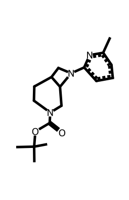 Cc1cccc(N2CC3CCN(C(=O)OC(C)(C)C)CC32)n1